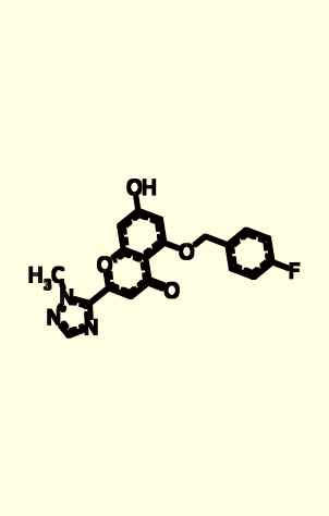 Cn1ncnc1-c1cc(=O)c2c(OCc3ccc(F)cc3)cc(O)cc2o1